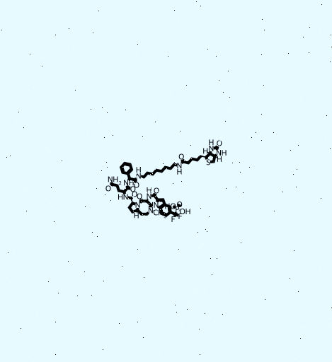 CN1CC[C@H]2CC[C@@H](C(=O)NC(CCC(N)=O)C(=O)NC(C(=O)NCCCCCCCCNC(=O)CCCC[C@@H]3SC[C@@H]4NC(=O)N[C@@H]43)c3ccccc3)N2C(=O)[C@@H](NC(=O)c2cc3cc(C(F)(F)P(=O)(O)O)ccc3[nH]2)C1